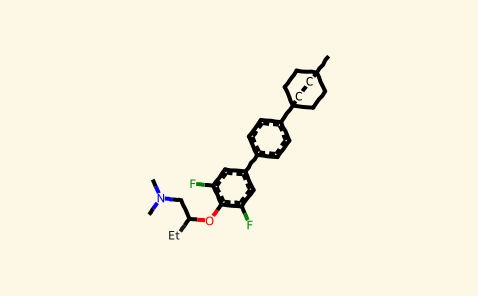 CCC(CN(C)C)Oc1c(F)cc(-c2ccc(C34CCC(C)(CC3)CC4)cc2)cc1F